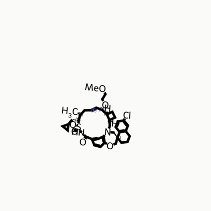 COCCO[C@H]1/C=C/C[C@@H](C)[C@@H](CC2CC2)S(=O)(=O)NC(=O)c2ccc3c(c2)N(C[C@@H]2CC[C@H]21)C[C@@]1(CCCc2cc(Cl)ccc21)CO3